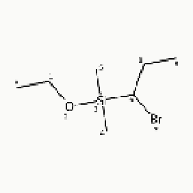 CCO[Si](C)(C)C(Br)CC